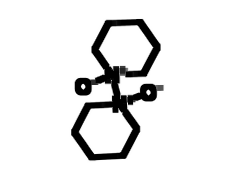 [O-][N+]1([N+]2([O-])CCCCC2)CCCCC1